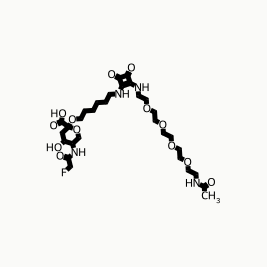 CC(=O)NCCOCCOCCOCCOCCNc1c(NCCCCCCOC2(C(=O)O)CC(O)C(NC(=O)CF)CO2)c(=O)c1=O